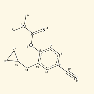 CN(C)C(=S)Oc1ccc(C#N)cc1CC1CC1